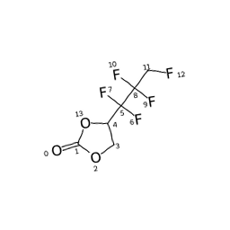 O=C1OCC(C(F)(F)C(F)(F)CF)O1